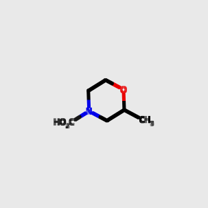 CC1CN(C(=O)O)CCO1